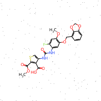 COC(=O)c1scc(NC(=O)Nc2cc(OCc3cccc4c3OCO4)c(OC)cc2F)c1C(=O)O